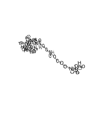 CCC[C@H](NC(=O)[C@@H]1[C@H]2CCC[C@H]2CN1C(=O)[C@@H](NC(=O)[C@@H](NC(=O)c1cnc(C(=O)NCCOCCOCCNC(=O)CCOCCOCCOCCOCCNc2cccc3c2CN(C2CCC(=O)NC2=O)C3=O)cn1)C1CCCCC1)C(C)(C)C)C(=O)C(=O)NC1CC1